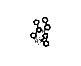 CC1(C)c2ccccc2-c2ccc(N(c3cccc(C4CCCCC4)c3)c3cc(C4CCCCC4)cc(C4CCCCC4)c3)cc21